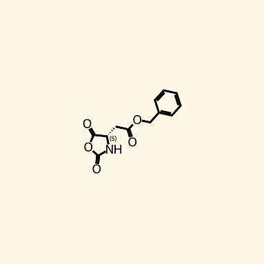 O=C(C[C@@H]1NC(=O)OC1=O)OCc1ccccc1